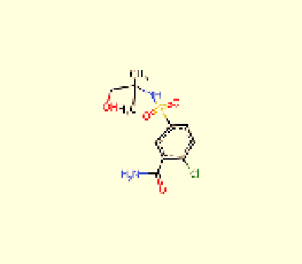 CC(C)(CO)NS(=O)(=O)c1ccc(Cl)c(C(N)=O)c1